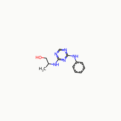 CC(CO)Nc1ncnc(Nc2ccccc2)n1